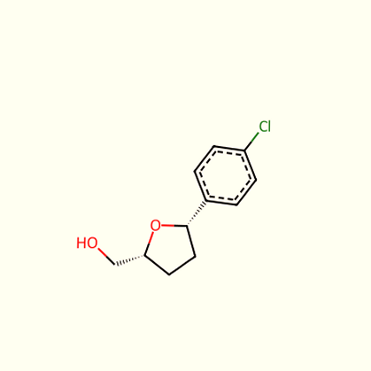 OC[C@H]1CC[C@@H](c2ccc(Cl)cc2)O1